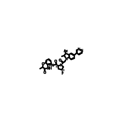 CC(=O)C1c2cc(-c3ccnnc3)ccc2N(CC(=O)N2C[C@H](F)C[C@H]2C(=O)Nc2cccc3c2NC(=O)C(C)O3)C1C